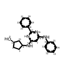 O[C@@H]1CCC(Nc2cc(Nc3ccccc3)nc(-c3ccccc3)n2)C1